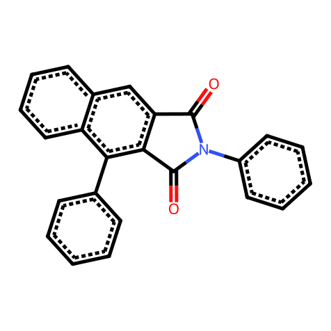 O=C1c2cc3ccccc3c(-c3ccccc3)c2C(=O)N1c1ccccc1